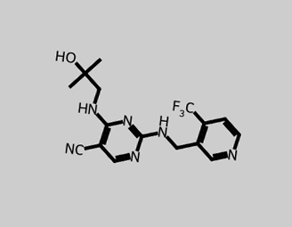 CC(C)(O)CNc1nc(NCc2cnccc2C(F)(F)F)ncc1C#N